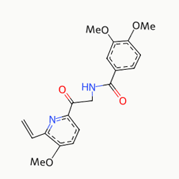 C=Cc1nc(C(=O)CNC(=O)c2ccc(OC)c(OC)c2)ccc1OC